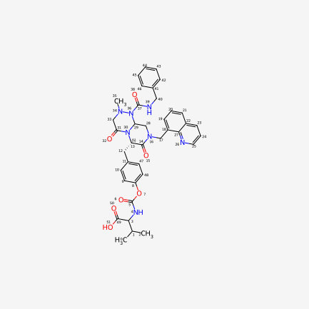 CC(C)C(NC(=O)Oc1ccc(C[C@H]2C(=O)N(Cc3cccc4cccnc34)CC3N2C(=O)CN(C)N3C(=O)NCc2ccccc2)cc1)C(=O)O